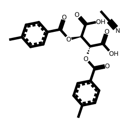 CC#N.Cc1ccc(C(=O)O[C@@H](C(=O)O)[C@@H](OC(=O)c2ccc(C)cc2)C(=O)O)cc1